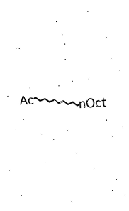 [CH2]C(=O)CCCCCCCCCCCCCCCCCC